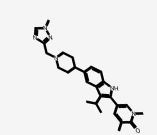 Cc1cc(-c2[nH]c3ccc(C4CCN(Cc5ncn(C)n5)CC4)cc3c2C(C)C)cn(C)c1=O